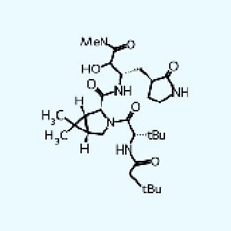 CNC(=O)C(O)[C@H](C[C@@H]1CCNC1=O)NC(=O)[C@@H]1[C@@H]2[C@H](CN1C(=O)[C@@H](NC(=O)CC(C)(C)C)C(C)(C)C)C2(C)C